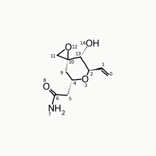 C=C[C@H]1O[C@H](CC(N)=O)C[C@@]2(CO2)[C@@H]1O